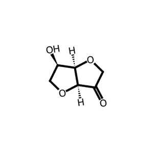 O=C1CO[C@@H]2[C@H](O)CO[C@H]12